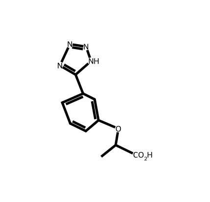 CC(Oc1cccc(-c2nnn[nH]2)c1)C(=O)O